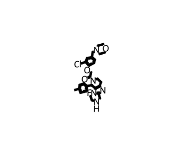 Cc1ccc(C2c3c(nc4n3CCNC4)CCN2C(=O)COc2ccc(CN3CCOCC3)cc2Cl)c(F)c1